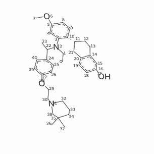 CCN(c1cc(OC)ccc1[C@@H]1CCc2cc(O)ccc2C1)C(C)c1ccc(OCCN2CCCC(C)(C)C2)cc1